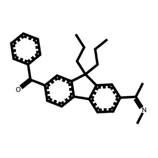 CCCC1(CCC)c2cc(C(=O)c3ccccc3)ccc2-c2ccc(/C(C)=N\C)cc21